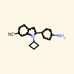 N#Cc1ccc2cc(-c3ccc(N)cc3)n(C3CCC3)c2c1